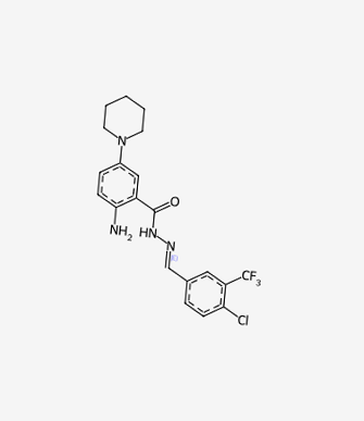 Nc1ccc(N2CCCCC2)cc1C(=O)N/N=C/c1ccc(Cl)c(C(F)(F)F)c1